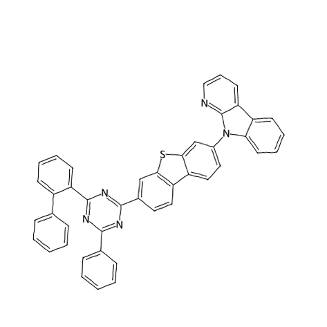 c1ccc(-c2nc(-c3ccc4c(c3)sc3cc(-n5c6ccccc6c6cccnc65)ccc34)nc(-c3ccccc3-c3ccccc3)n2)cc1